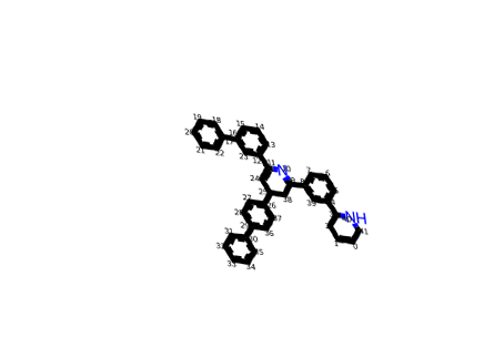 C1=CCC(c2cccc(C3=NC(c4cccc(-c5ccccc5)c4)=CC(c4ccc(-c5ccccc5)cc4)C3)c2)NC1